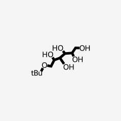 CC(C)(C)OCC(O)C(O)C(O)C(O)CO